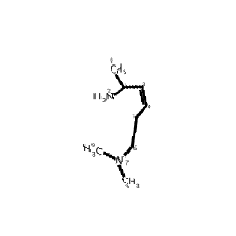 CC(N)/C=C\CCN(C)C